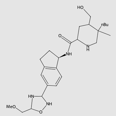 CCCCC1(C)CNC(C(=O)N[C@@H]2CCc3cc(C4NOC(COC)N4)ccc32)CC1CO